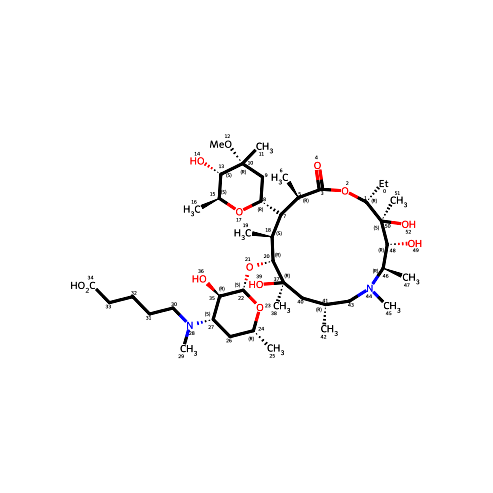 CC[C@H]1OC(=O)[C@H](C)C([C@H]2C[C@@](C)(OC)[C@@H](O)[C@H](C)O2)[C@H](C)[C@@H](O[C@@H]2O[C@H](C)C[C@H](N(C)CCCCC(=O)O)[C@H]2O)[C@](C)(O)C[C@@H](C)CN(C)[C@H](C)[C@@H](O)[C@]1(C)O